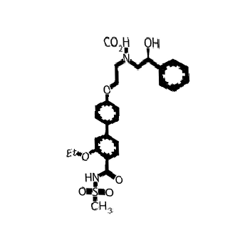 CCOc1cc(-c2ccc(OCCN(C[C@@H](O)c3ccccc3)C(=O)O)cc2)ccc1C(=O)NS(C)(=O)=O